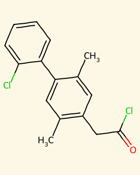 Cc1cc(-c2ccccc2Cl)c(C)cc1CC(=O)Cl